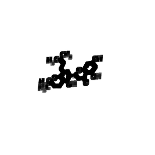 CC(C)=CCc1cc([C@@H]2CC(=O)c3c(O)cc(O)cc3O2)c(O)c2c1OC(C)(C)C=C2